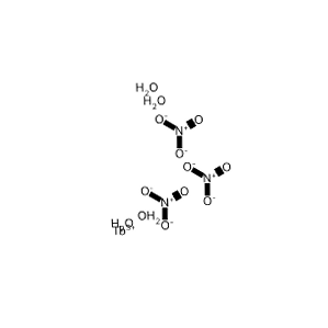 O.O.O.O.O=[N+]([O-])[O-].O=[N+]([O-])[O-].O=[N+]([O-])[O-].[Tb+3]